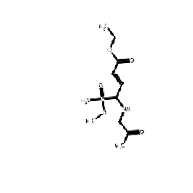 CCOC(=O)C=CC(NCC(C)=O)P(C)(=O)OC